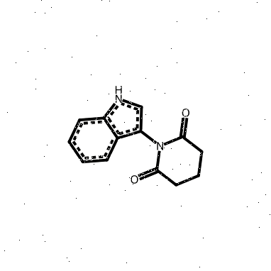 O=C1CCCC(=O)N1c1c[nH]c2ccccc12